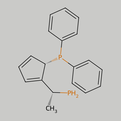 C[C@@H](P)C1=CC=C[C@@H]1P(c1ccccc1)c1ccccc1